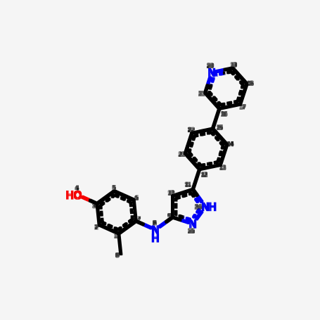 Cc1cc(O)ccc1Nc1cc(-c2ccc(-c3cccnc3)cc2)[nH]n1